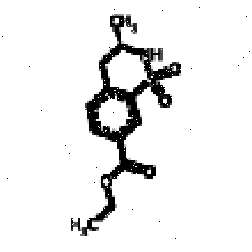 CCOC(=O)c1ccc2c(c1)S(=O)(=O)N[C@H](C)C2